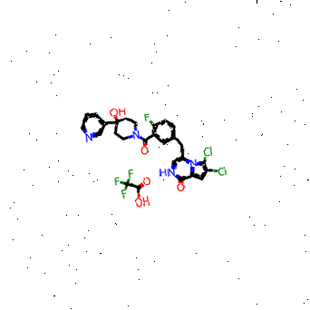 O=C(O)C(F)(F)F.O=C(c1cc(Cc2c[nH]c(=O)c3cc(Cl)c(Cl)n23)ccc1F)N1CCC(O)(c2cccnc2)CC1